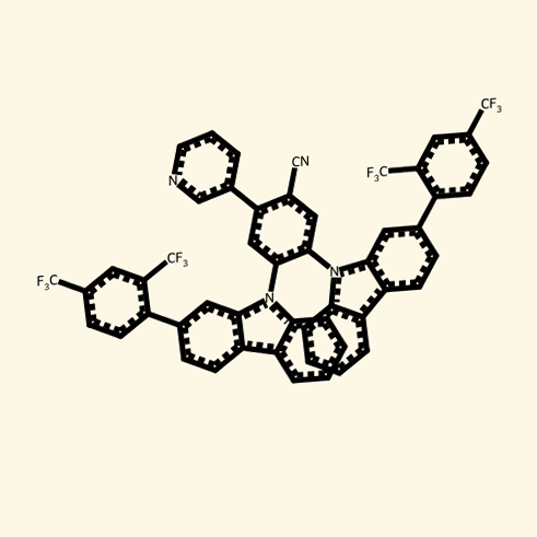 N#Cc1cc(-n2c3ccccc3c3ccc(-c4ccc(C(F)(F)F)cc4C(F)(F)F)cc32)c(-n2c3ccccc3c3ccc(-c4ccc(C(F)(F)F)cc4C(F)(F)F)cc32)cc1-c1cccnc1